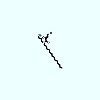 CCCCCCCCCCCCCCN(CC(O)CO)C(=O)CCCO